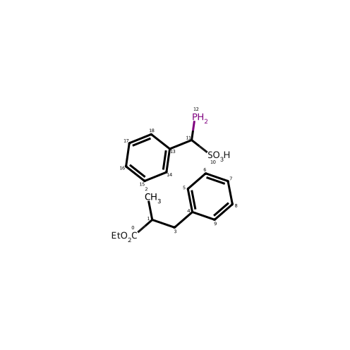 CCOC(=O)C(C)Cc1ccccc1.O=S(=O)(O)C(P)c1ccccc1